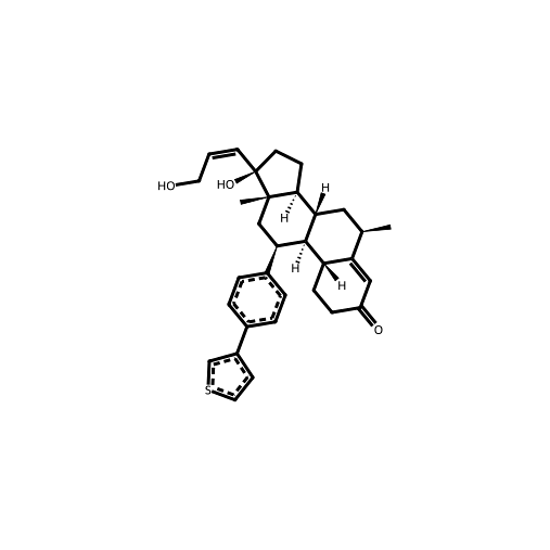 C[C@@H]1C[C@@H]2[C@H]([C@@H](c3ccc(-c4ccsc4)cc3)C[C@@]3(C)[C@H]2CC[C@@]3(O)/C=C\CO)[C@H]2CCC(=O)C=C12